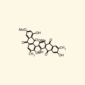 COc1cc(O)c2c(c1)C(=O)c1cc(C)c(O)c(-c3c(OC)cc4c(c3O)C(=O)c3cc(O)c(C)cc3C4=O)c1C2=O